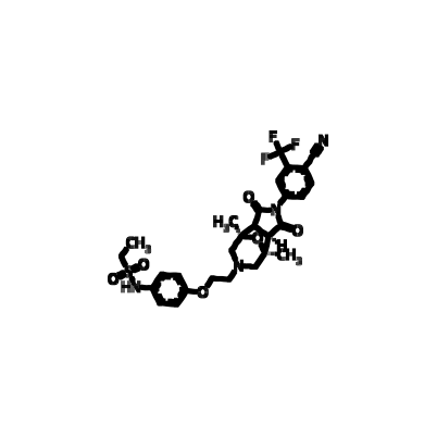 CCS(=O)(=O)Nc1ccc(OCCN2C[C@@]3(C)O[C@@](C)(C2)C2C(=O)N(c4ccc(C#N)c(C(F)(F)F)c4)C(=O)[C@H]23)cc1